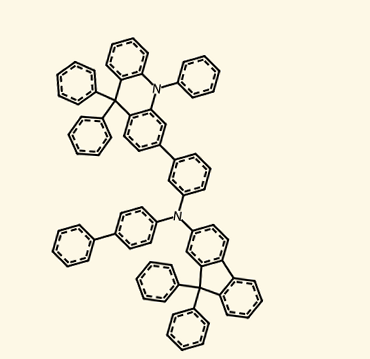 c1ccc(-c2ccc(N(c3cccc(-c4ccc5c(c4)N(c4ccccc4)c4ccccc4C5(c4ccccc4)c4ccccc4)c3)c3ccc4c(c3)C(c3ccccc3)(c3ccccc3)c3ccccc3-4)cc2)cc1